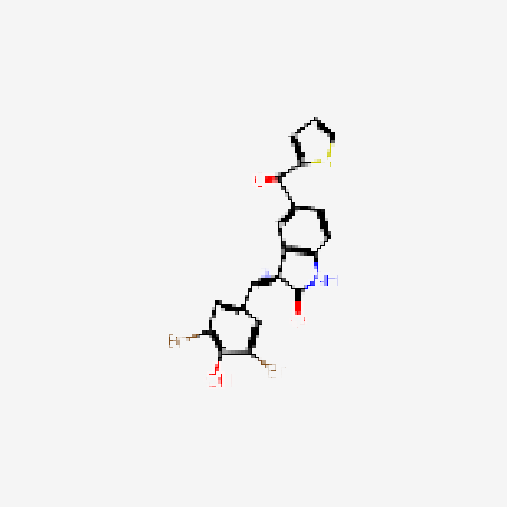 O=C1Nc2ccc(C(=O)c3cccs3)cc2/C1=C/c1cc(Br)c(O)c(Br)c1